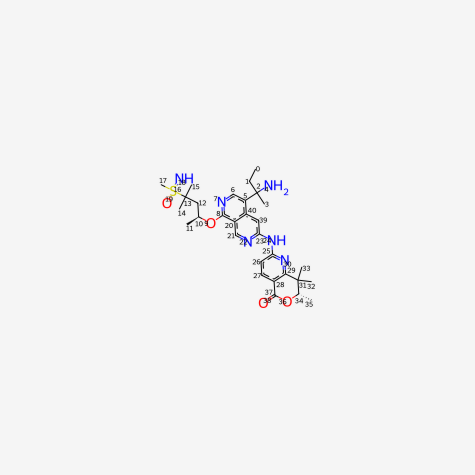 CCC(C)(N)c1cnc(O[C@@H](C)CC(C)(C)S(C)(=N)=O)c2cnc(Nc3ccc4c(n3)C(C)(C)[C@H](C)OC4=O)cc12